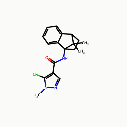 Cn1ncc(C(=O)NC23CCC(c4ccccc42)C3(C)C)c1Cl